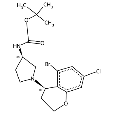 CC(C)(C)OC(=O)N[C@@H]1CCN([C@@H]2CCOc3cc(Cl)cc(Br)c32)C1